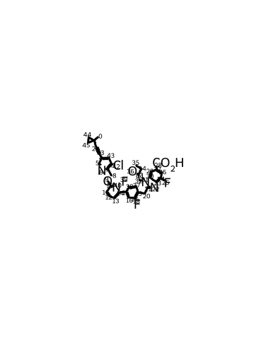 CC1(C#Cc2cnc(COc3cccc(-c4cc(F)c(Cc5nc6c(F)cc(C(=O)O)cc6n5C[C@@H]5CCO5)cc4F)n3)c(Cl)c2)CC1